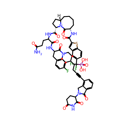 NC(=O)CCC(NC(=O)[C@@H]1CC[C@@H]2CCCC[C@H](NC(=O)c3cc4cc(C(F)(F)P(=O)(O)O)ccc4s3)C(=O)N21)C(=O)NC(Cc1ccc(F)cc1)C(=O)N1CCC(CCC#Cc2cccc3c2CN(C2CCC(=O)NC2=O)C3=O)CC1